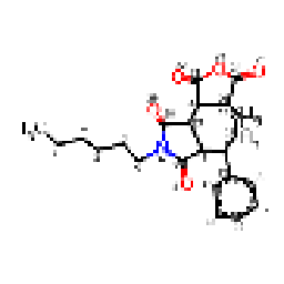 CCCCCCN1C(=O)C(C(CC)c2ccccc2)C(C2C(=O)OC(=O)C2C)C1=O